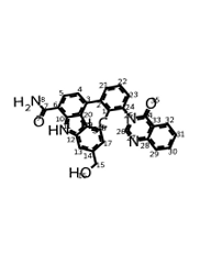 Cc1c(-c2ccc(C(N)=O)c3[nH]c4cc(CO)ccc4c23)cccc1-n1cnc2ccccc2c1=O